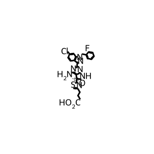 C[C@@]1(c2nc(CCCC(=O)O)cs2)C(=O)Nc2nc(-c3nn(Cc4ccccc4F)c4cc(Cl)ccc34)nc(N)c21